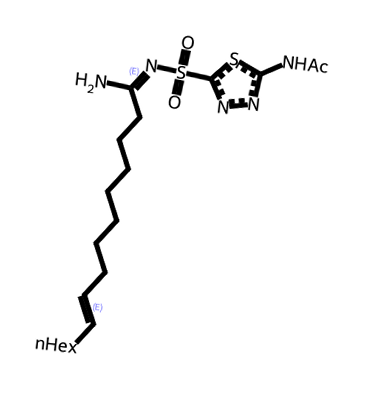 CCCCCC/C=C/CCCCCCC/C(N)=N\S(=O)(=O)c1nnc(NC(C)=O)s1